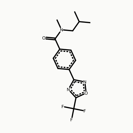 CC(C)CN(C)C(=O)c1ccc(-c2noc(C(F)(F)F)n2)cc1